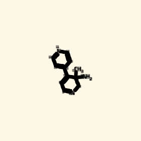 CC1(N)CN=CC=C1c1ccncc1